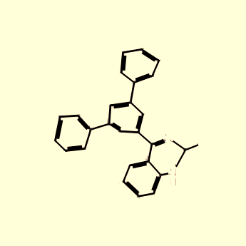 CC1N=C(c2cc(-c3ccccc3)cc(-c3ccccc3)c2)c2ccccc2N1